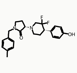 Cc1ccc(CN2CC[C@H](N3CC[C@@H](c4ccc(O)cc4)C(F)(F)C3)C2=O)cc1